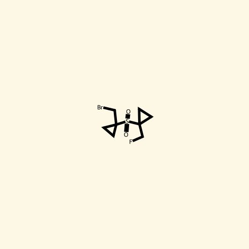 O=S(=O)(C1(CF)CC1)C1(CBr)CC1